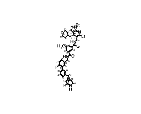 CCc1nc2c(cnn2CC)c(NC2CCOCC2)c1CNC(=O)c1cc(C)cc(C(=O)NCc2ccc(F)c(-c3cccc(CN4C[C@@H]5CC4CN5)c3)c2)c1